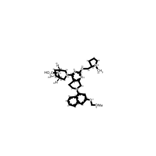 COCOc1cc(N2CCc3c(nc(OCC4CCCN4C)nc3N3C[C@H]4C[C@@H](F)[C@@H](C3)N4C(=O)O)C2)c2ccccc2c1